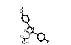 COc1ccc(-c2nc(-c3ccc(F)cc3)n(CC(=O)O)n2)cc1